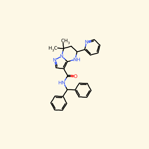 CC1(C)CC(c2ccccn2)Nc2c(C(=O)NC(c3ccccc3)c3ccccc3)cnn21